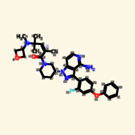 CN(C1COC1)C(C)(C)/C=C(/C#N)C(=O)N1CCC[C@@H](n2nc(-c3ccc(Oc4ccccc4)cc3F)c3c(N)nccc32)C1